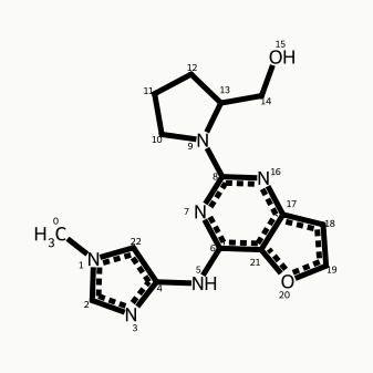 Cn1cnc(Nc2nc(N3CCCC3CO)nc3ccoc23)c1